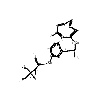 C[C@H](NC1=C/C=C/C=C/C(Cl)=N\1)c1cccc(NC(=O)C2CC2(F)Cl)c1